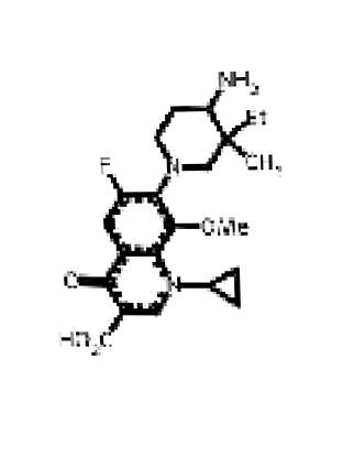 CCC1(C)CN(c2c(F)cc3c(=O)c(C(=O)O)cn(C4CC4)c3c2OC)CCC1N